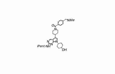 CCC[C@H](C)Nc1ncc2c(C3CCN(C(=O)c4ccc(CNC)cc4)CC3)cn([C@H]3CC[C@H](O)CC3)c2n1